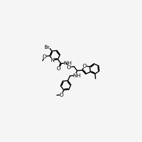 COc1ccc(CNC(CONC(=O)c2ccc(Br)c(OC)n2)c2cc3c(C)cccc3o2)cc1